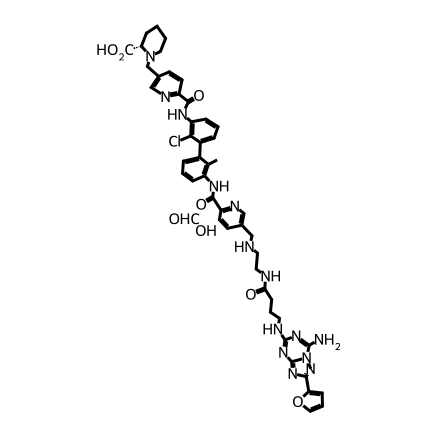 Cc1c(NC(=O)c2ccc(CNCCNC(=O)CCCNc3nc(N)n4nc(-c5ccco5)nc4n3)cn2)cccc1-c1cccc(NC(=O)c2ccc(CN3CCCC[C@H]3C(=O)O)cn2)c1Cl.O=CO